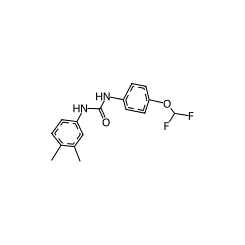 Cc1ccc(NC(=O)Nc2ccc(OC(F)F)cc2)cc1C